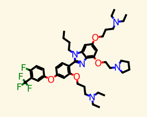 CCCCn1c(-c2ccc(Oc3ccc(F)c(C(F)(F)F)c3)cc2OCCCN(CC)CC)nc2c(OCCN3CCCC3)cc(OCCCN(CC)CC)cc21